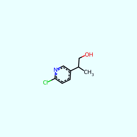 CC(CO)c1ccc(Cl)nc1